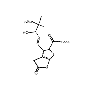 CCCCC(C)(C)C(O)/C=C/C1C2=C(CC1C(=O)OC)OC(=O)C2